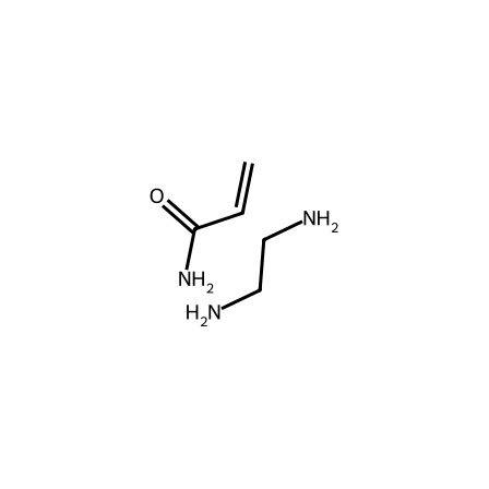 C=CC(N)=O.NCCN